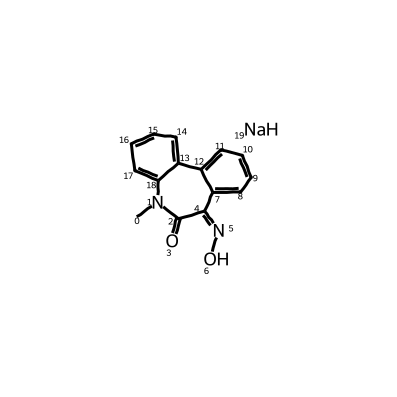 Cn1c(=O)c(=NO)c2ccccc2c2ccccc21.[NaH]